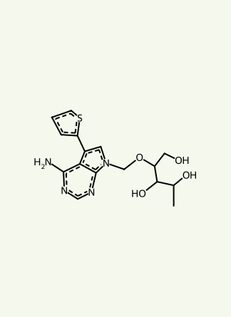 CC(O)C(O)C(CO)OCn1cc(-c2cccs2)c2c(N)ncnc21